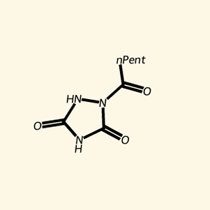 CCCCCC(=O)n1[nH]c(=O)[nH]c1=O